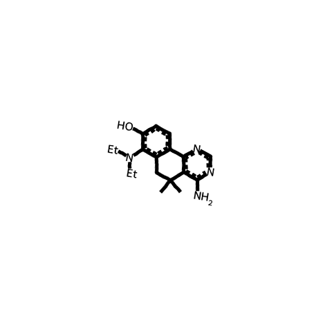 CCN(CC)c1c(O)ccc2c1CC(C)(C)c1c(N)ncnc1-2